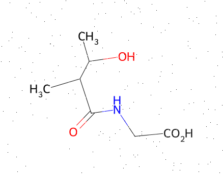 CC(O)C(C)C(=O)NCC(=O)O